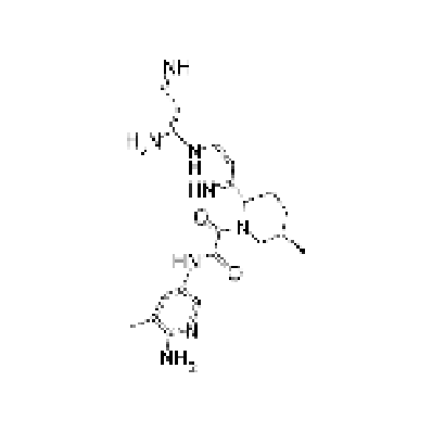 Cc1cc(NC(=O)C(=O)N2C[C@H](C)CC[C@H]2C(=N)/C=C\N/C(N)=C/C=N)cnc1N